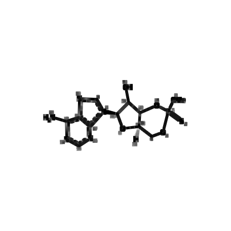 COP1(=S)OC[C@H]2O[C@@H](n3cnc4c(N)ncnc43)C(O)C2O1